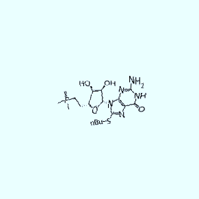 C=P(C)(C)CC[C@H]1O[C@@H](n2c(SCCCC)nc3c(=O)[nH]c(N)nc32)[C@H](O)[C@@H]1O